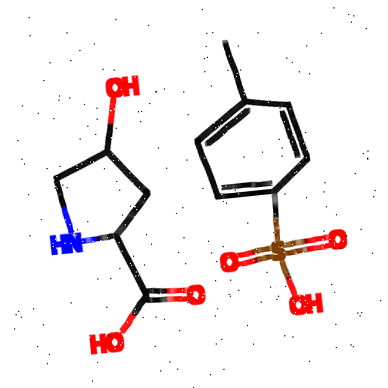 Cc1ccc(S(=O)(=O)O)cc1.O=C(O)C1CC(O)CN1